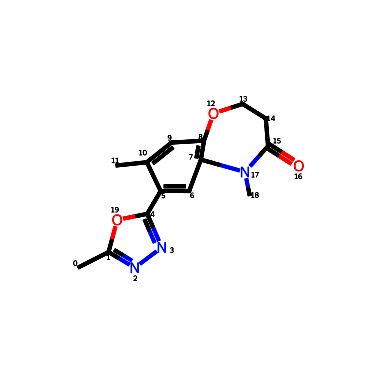 Cc1nnc(-c2cc3c(cc2C)OCCC(=O)N3C)o1